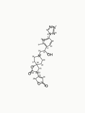 Cc1nc(-n2cnnn2)ccc1C(O)CN1CCC2(CC1)CN(C1=CC(=O)OC1)C(=O)O2